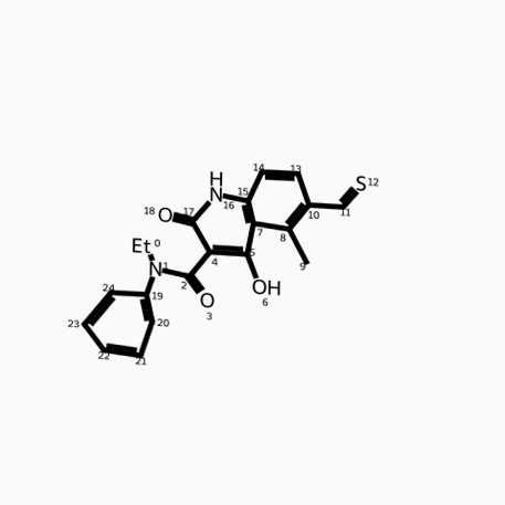 CCN(C(=O)c1c(O)c2c(C)c(C=S)ccc2[nH]c1=O)c1ccccc1